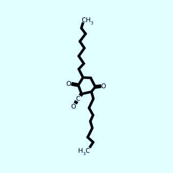 CCCCCCCCC1CC(=O)C(CCCCCCCC)C(=C=O)C1=O